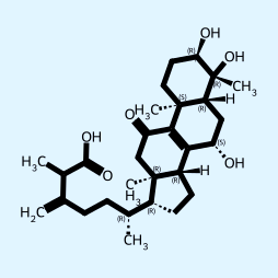 C=C(CC[C@@H](C)[C@H]1CC[C@H]2C3=C(C(=O)C[C@]12C)[C@@]1(C)CC[C@@H](O)[C@](C)(O)[C@@H]1C[C@@H]3O)C(C)C(=O)O